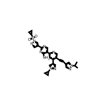 CC(C)n1cc(C#Cc2cnc(-c3cnc(-c4cnn(S(=O)(=O)C5CC5)c4)nc3N)cc2-c2cnn(C3CC3)c2)cn1